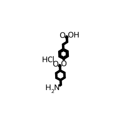 Cl.NCC1CCC(C(=O)Oc2ccc(CCC(=O)O)cc2)CC1